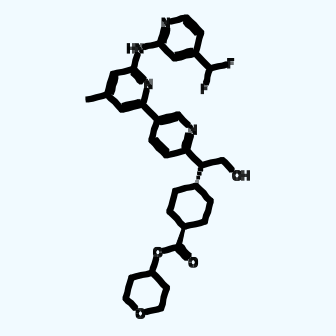 Cc1cc(Nc2cc(C(F)F)ccn2)nc(-c2ccc(C(CO)[C@H]3CC[C@H](C(=O)OC4CCOCC4)CC3)nc2)c1